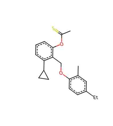 CCc1ccc(OCc2c(OC(C)=S)cccc2C2CC2)c(C)c1